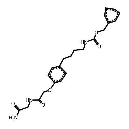 NC(=O)CNC(=O)COc1ccc(CCCCNC(=O)OCc2ccccc2)cc1